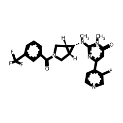 CN(c1nc(-c2ccncc2F)cc(=O)n1C)[C@@H]1[C@@H]2CN(C(=O)c3cccc(C(F)(F)F)c3)C[C@@H]21